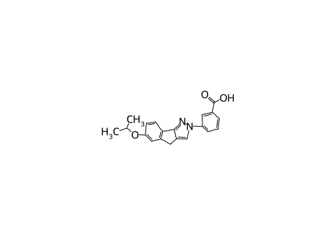 CC(C)Oc1ccc2c(c1)Cc1cn(-c3cccc(C(=O)O)c3)nc1-2